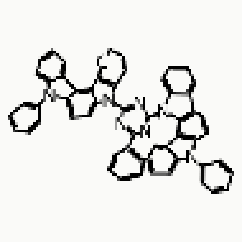 C1=Cc2c(c3c4c5ccccc5n(-c5ccccc5)c4ccc3n2-c2nc(-c3ccccc3)nc(-n3c4ccccc4c4ccc5c(c6ccccc6n5-c5ccccc5)c43)n2)CC1